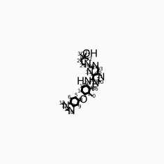 Cc1c(Oc2ccc3c(c2)ncn3C)ccc(Nc2ncnc3cnc(N4CC[C@](C)(O)C4)nc23)c1F